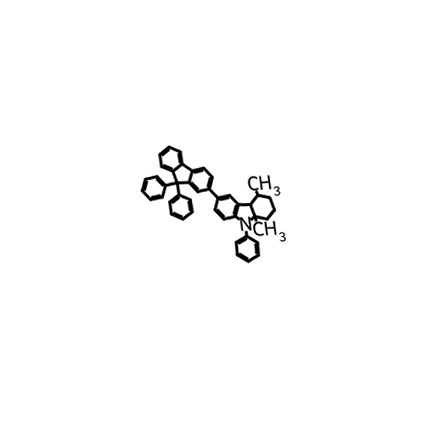 CC1CCCC2(C)C1c1cc(-c3ccc4c(c3)C(c3ccccc3)(c3ccccc3)c3ccccc3-4)ccc1N2c1ccccc1